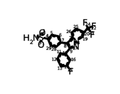 NS(=O)(=O)c1ccc(-c2c(-c3cccc(F)c3)nn3cc(C(F)(F)F)ccc23)cc1